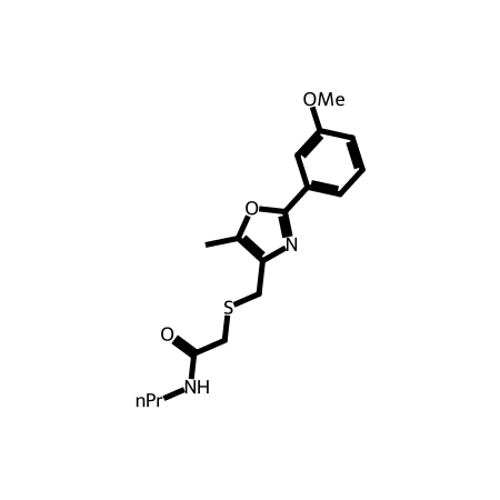 CCCNC(=O)CSCc1nc(-c2cccc(OC)c2)oc1C